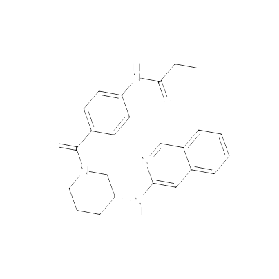 CCC(=O)Nc1ccc(C(=O)N2CCC[C@@H](Nc3cc4ccccc4cn3)C2)cc1